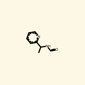 CC(NC=O)c1ccccn1